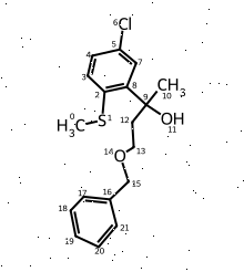 CSc1ccc(Cl)cc1C(C)(O)CCOCc1ccccc1